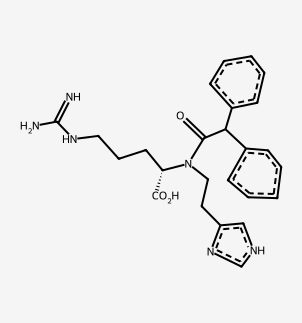 N=C(N)NCCC[C@@H](C(=O)O)N(CCc1c[nH]cn1)C(=O)C(c1ccccc1)c1ccccc1